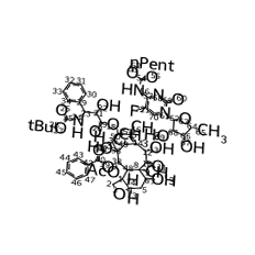 CC(=O)O[C@@]12CO[C@@H]1C[C@H](O)[C@@]1(C)C(=O)[C@H](O)C3=C(C)[C@@H](OC(=O)C(O)[C@@H](NC(=O)OC(C)(C)C)c4ccccc4)C[C@@](O)([C@@H](OC(=O)c4ccccc4)[C@H]21)C3(C)C.CCCCCOC(=O)Nc1nc(=O)n([C@@H]2O[C@H](C)[C@@H](O)[C@H]2O)cc1F